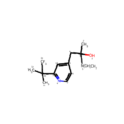 CN(O)C(C)(O)Cc1ccnc(C(C)(C)C(F)(F)F)c1